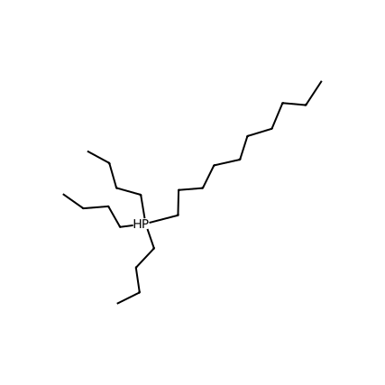 CCCCCCCCCC[PH](CCCC)(CCCC)CCCC